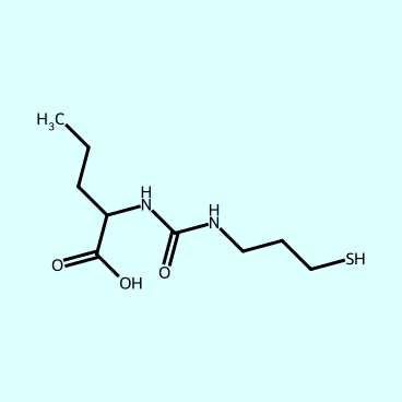 CCCC(NC(=O)NCCCS)C(=O)O